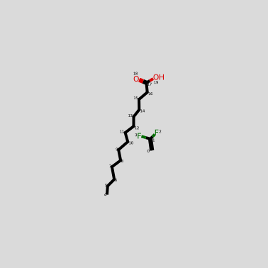 C=C(F)F.CCCCCCCCCCCCCC(=O)O